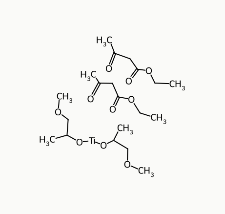 CCOC(=O)CC(C)=O.CCOC(=O)CC(C)=O.COCC(C)[O][Ti][O]C(C)COC